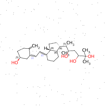 C=C1CC[C@H](O)C/C1=C/C=C1\CCC[C@]2(C)[C@@H]([C@H](C)C(O)CC(O)C(C)(C)O)CC[C@@H]12